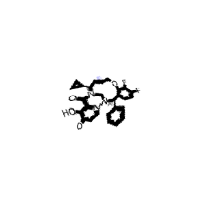 O=C1c2c(O)c(=O)ccn2N2CN1[C@@H](C1CC1)/C=C/COc1c(ccc(F)c1F)[C@H]2c1ccccc1